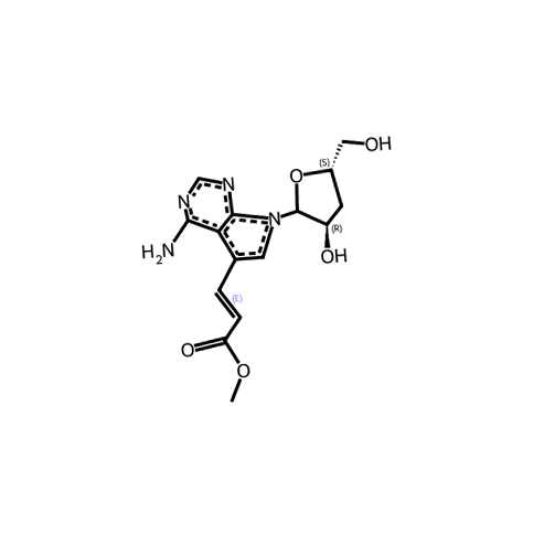 COC(=O)/C=C/c1cn(C2O[C@H](CO)C[C@H]2O)c2ncnc(N)c12